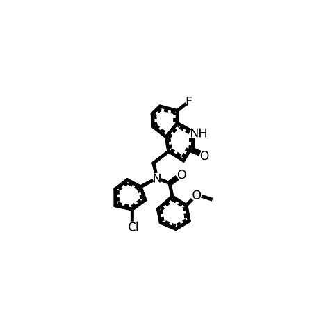 COc1ccccc1C(=O)N(Cc1cc(=O)[nH]c2c(F)cccc12)c1cccc(Cl)c1